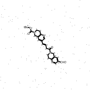 CC(C)(C)OC(=O)N1CCc2ncc(/C=C/CC(=O)N3CCc4ncc(C=O)cc4C3)cc2C1